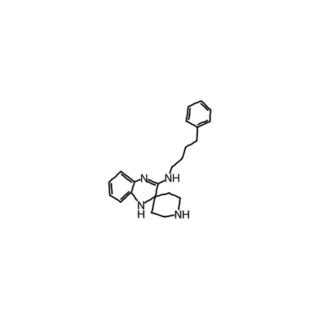 c1ccc(CCCCNC2=Nc3ccccc3NC23CCNCC3)cc1